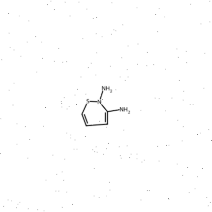 NC1=CC=CSN1N